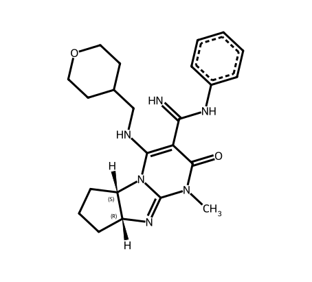 CN1C(=O)C(C(=N)Nc2ccccc2)=C(NCC2CCOCC2)N2C1=N[C@@H]1CCC[C@@H]12